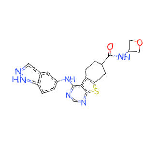 O=C(NC1COC1)C1CCc2c(sc3ncnc(Nc4ccc5[nH]ncc5c4)c23)C1